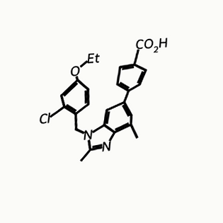 CCOc1ccc(Cn2c(C)nc3c(C)cc(-c4ccc(C(=O)O)cc4)cc32)c(Cl)c1